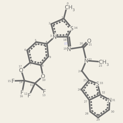 Cc1cn(-c2ccc3c(c2)OC(F)(F)C(F)(F)O3)/c(=N/C(=O)N(C)Cc2cc3cccnc3s2)s1